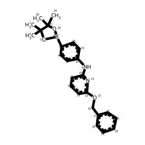 CC1(C)OB(c2ccc(Nc3cccc(OCc4ccccc4)n3)cc2)OC1(C)C